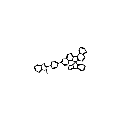 Cn1c(-c2ccc(-c3ccc4c5c(ccc4c3)-c3c(ccc4ccccc34)C53c4ccccc4-c4ccccc43)cc2)nc2ccccc21